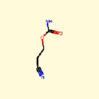 N#CCCOC([NH])=O